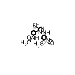 C=CC(=O)Nc1cccc(-c2nc(Nc3ccc(OC)c(N4CCOCC4)c3)ncc2C(F)(F)F)c1